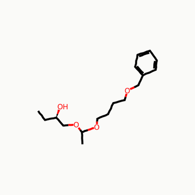 CC[C@@H](O)COC(C)OCCCCOCc1ccccc1